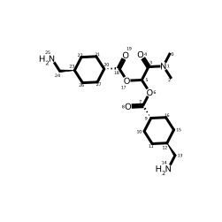 CN(C)C(=O)C(OC(=O)[C@H]1CC[C@H](CN)CC1)OC(=O)[C@H]1CC[C@H](CN)CC1